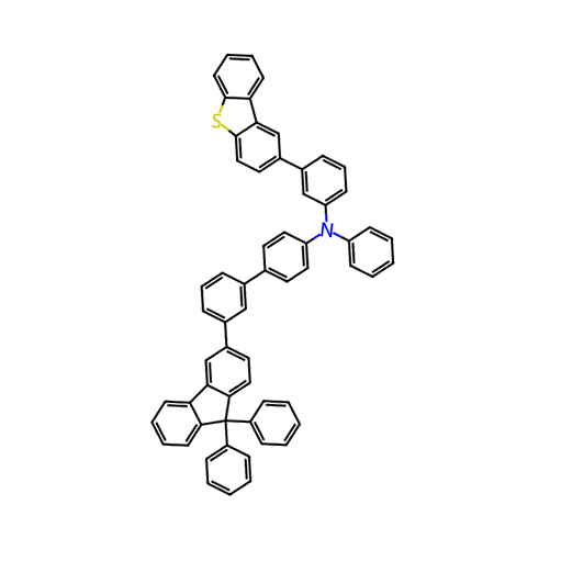 c1ccc(N(c2ccc(-c3cccc(-c4ccc5c(c4)-c4ccccc4C5(c4ccccc4)c4ccccc4)c3)cc2)c2cccc(-c3ccc4sc5ccccc5c4c3)c2)cc1